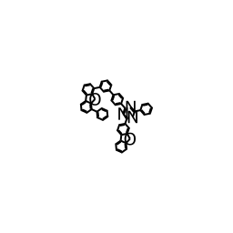 c1ccc(-c2nc(-c3ccc(-c4cccc(-c5cccc6c5oc5c(-c7ccccc7)cccc56)c4)cc3)nc(-c3ccc4c(c3)oc3ccccc34)n2)cc1